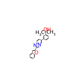 CC(C)(O)c1cccc(-c2ccc3nc(-c4cc5ccccc5o4)cn3c2)c1